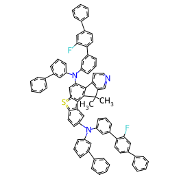 CC1(C)c2cnccc2-c2c(N(c3cccc(-c4ccccc4)c3)c3cccc(-c4ccc(-c5ccccc5)cc4F)c3)cc3sc4ccc(N(c5cccc(-c6ccccc6)c5)c5cccc(-c6ccc(-c7ccccc7)cc6F)c5)cc4c3c21